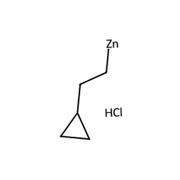 Cl.[Zn][CH2]CC1CC1